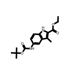 CCOC(=O)c1[nH]c2ccc(NC(=O)OC(C)(C)C)cc2c1C